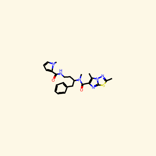 Cc1nn2c(C)c(C(=O)N(C)C(CCNC(=O)c3cccn3C)Cc3ccccc3)nc2s1